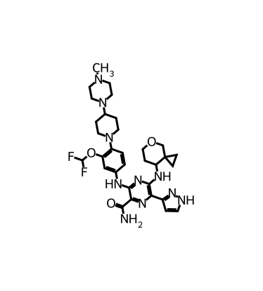 CN1CCN(C2CCN(c3ccc(Nc4nc(NC5CCOCC56CC6)c(-c5cc[nH]n5)nc4C(N)=O)cc3OC(F)F)CC2)CC1